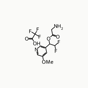 COc1cncc(C(OC(=O)CN)C(F)F)c1.O=C(O)C(F)(F)F